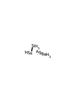 [Ag].[BaH2].[SiH3][SeH]